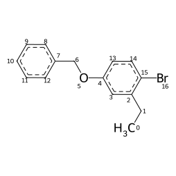 CCc1cc(OCc2ccccc2)ccc1Br